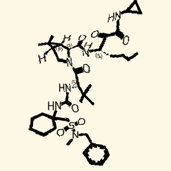 CCCC[C@H](NC(=O)[C@@H]1[C@@H]2[C@H](CN1C(=O)[C@@H](NC(=O)NC1(CS(=O)(=O)N(C)Cc3ccccc3)CCCCC1)C(C)(C)C)C2(C)C)C(=O)C(=O)NC1CC1